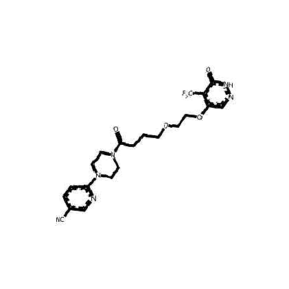 N#Cc1ccc(N2CCN(C(=O)CCCOCCOc3cn[nH]c(=O)c3C(F)(F)F)CC2)nc1